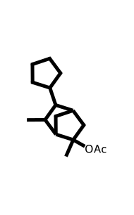 CC(=O)OC1(C)CC2CC1C(C)C2C1CCCC1